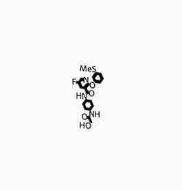 CSc1cccc(Oc2ncc(F)cc2C(=O)N[C@H]2CC[C@@H](NC(=O)CO)CC2)c1